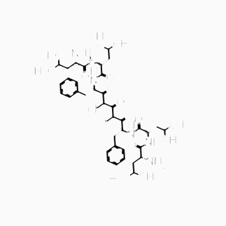 CC(C)C[C@H](NC(=O)[C@@H](N)CC(C)C)C(=O)N[C@@H](Cc1ccccc1)C(=O)C(Cl)C(=O)C(Cl)C(=O)[C@H](Cc1ccccc1)NC(=O)[C@H](CC(C)C)NC(=O)[C@@H](N)CC(C)C